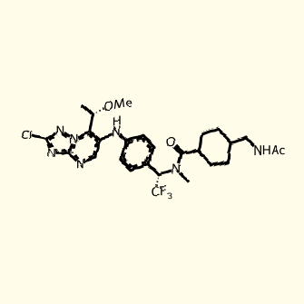 CO[C@@H](C)c1c(Nc2ccc([C@H](N(C)C(=O)C3CCC(CNC(C)=O)CC3)C(F)(F)F)cc2)cnc2nc(Cl)nn12